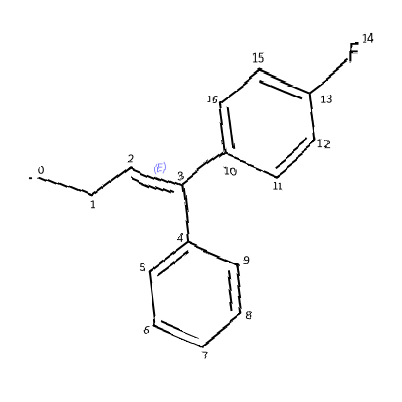 [CH2]C/C=C(\c1ccccc1)c1ccc(F)cc1